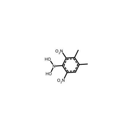 Cc1cc([N+](=O)[O-])c(N(O)O)c([N+](=O)[O-])c1C